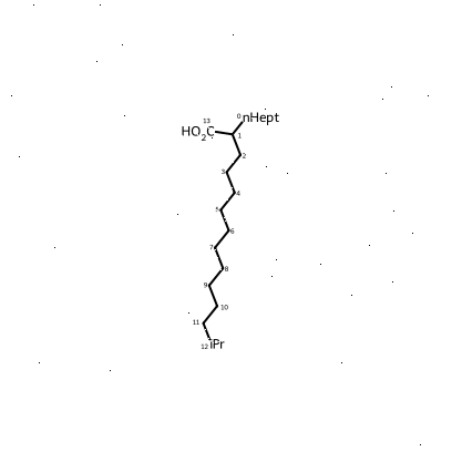 CCCCCCCC(CCCCCCCCCCC(C)C)C(=O)O